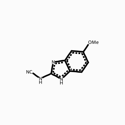 COc1ccc2[nH]c(NC#N)nc2c1